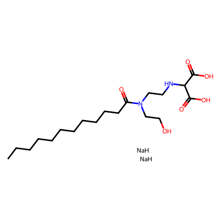 CCCCCCCCCCCC(=O)N(CCO)CCNC(C(=O)O)C(=O)O.[NaH].[NaH]